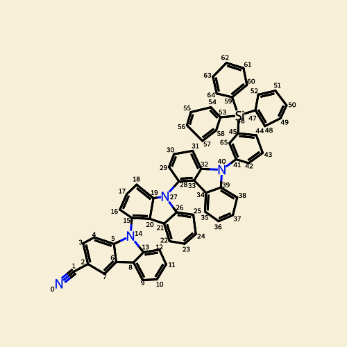 N#Cc1ccc2c(c1)c1ccccc1n2-c1cccc2c1c1ccccc1n2-c1cccc2c1c1ccccc1n2-c1cccc([Si](c2ccccc2)(c2ccccc2)c2ccccc2)c1